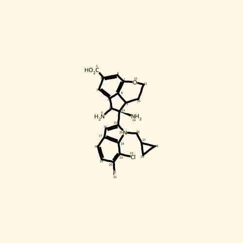 NC1c2cc(C(=O)O)cc3c2C(CCO3)[C@]1(N)c1cc2ccc(F)c(Cl)c2n1CC1CC1